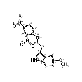 COc1ccc2[nH]cc(CCNc3ccc([N+](=O)[O-])cc3[N+](=O)[O-])c2c1